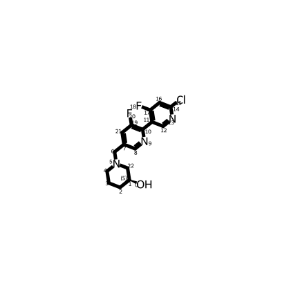 O[C@H]1CCCN(Cc2cnc(-c3cnc(Cl)cc3F)c(F)c2)C1